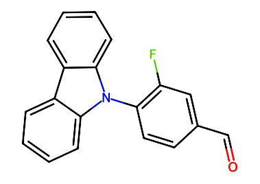 O=Cc1ccc(-n2c3ccccc3c3ccccc32)c(F)c1